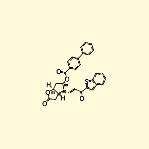 O=C1C[C@@H]2[C@@H](C=CC(=O)c3cc4ccccc4s3)[C@H](OC(=O)c3ccc(-c4ccccc4)cc3)C[C@@H]2O1